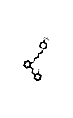 CC1CCN(CCCCOc2ccccc2CCc2ccccc2Cl)CC1